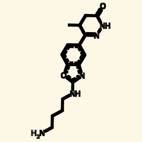 CC1CC(=O)NN=C1c1ccc2oc(NCCCCN)nc2c1